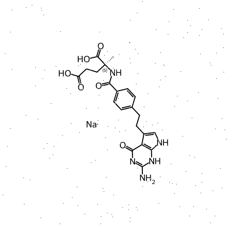 C[C@@](CCC(=O)O)(NC(=O)c1ccc(CCc2c[nH]c3[nH]c(N)nc(=O)c23)cc1)C(=O)O.[Na]